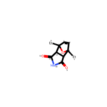 CCC12C=CC(CC)(O1)C1C(=O)NC(=O)C12